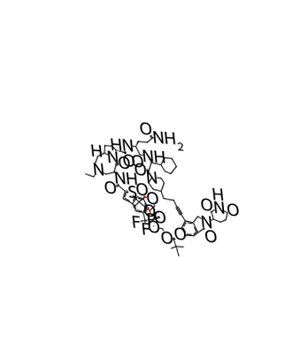 CCN1CC[C@H]2CC[C@@H](C(=O)N[C@@H](CCC(N)=O)C(=O)N[C@H](C(=O)N3CCC(CCC#Cc4cccc5c4CN(C4CCC(=O)NC4=O)C5=O)CC3)C3CCCCC3)N2C(=O)[C@@H](NC(=O)c2cc3cc(C(F)(F)P(=O)(OCOC(=O)C(C)(C)C)OCOC(=O)C(C)(C)C)ccc3s2)C1